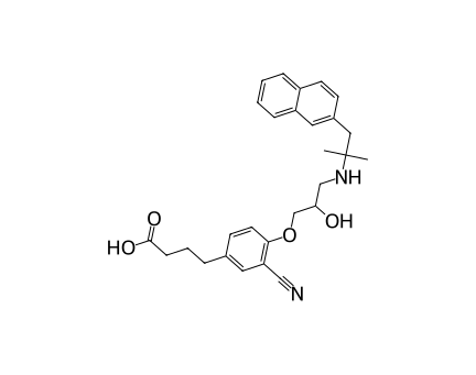 CC(C)(Cc1ccc2ccccc2c1)NCC(O)COc1ccc(CCCC(=O)O)cc1C#N